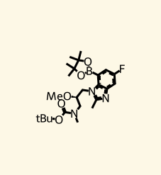 CO[C@H](CN(C)C(=O)OC(C)(C)C)Cn1c(C)nc2cc(F)cc(B3OC(C)(C)C(C)(C)O3)c21